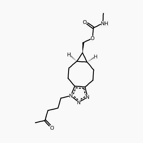 CNC(=O)OC[C@@H]1[C@@H]2CCc3c(nnn3CCCC(C)=O)CC[C@@H]21